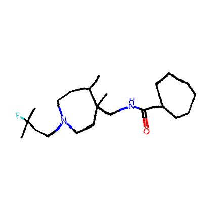 CC1CCN(CC(C)(C)F)CCC1(C)CNC(=O)C1CCCCCC1